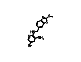 CSc1nc2ccc(CNc3ncc(Br)cc3N)cc2s1